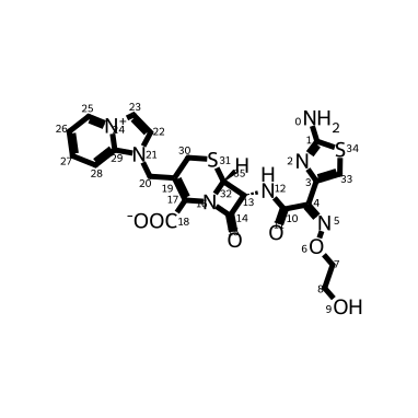 Nc1nc(/C(=N/OCCO)C(=O)N[C@@H]2C(=O)N3C(C(=O)[O-])=C(Cn4cc[n+]5ccccc45)CS[C@H]23)cs1